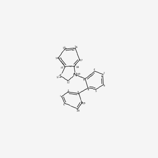 c1ccc(-c2ccccc2N2CSc3ccccc32)cc1